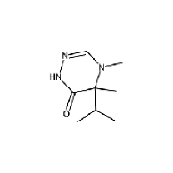 CC(C)C1(C)C(=O)NN=CN1C